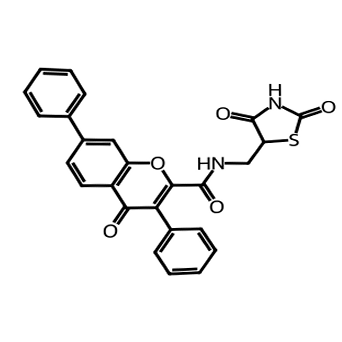 O=C1NC(=O)C(CNC(=O)c2oc3cc(-c4ccccc4)ccc3c(=O)c2-c2ccccc2)S1